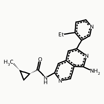 CCc1ccncc1-c1cc2cc(NC(=O)[C@@H]3C[C@@H]3C)ncc2c(N)n1